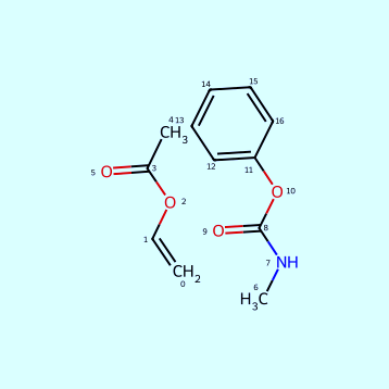 C=COC(C)=O.CNC(=O)Oc1ccccc1